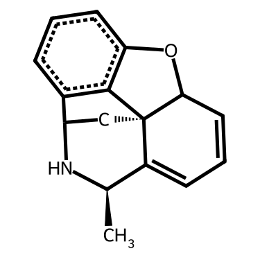 C[C@H]1NC2C[C@@]34C1=CC=CC3Oc1cccc2c14